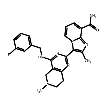 Cc1nc2c(C(N)=O)cccn2c1-c1nc2c(c(NCc3cccc(F)c3)n1)CN(C)CC2